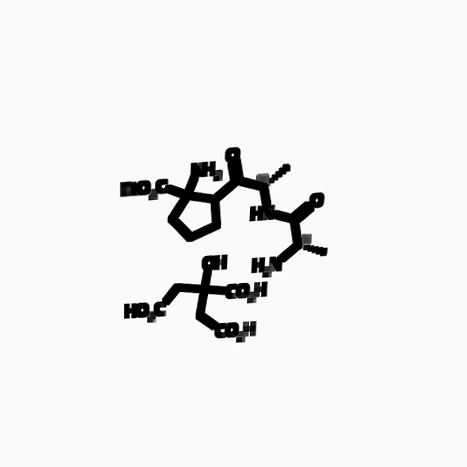 CCOC(=O)C1(N)CCCC1C(=O)[C@H](C)NC(=O)[C@H](C)N.O=C(O)CC(O)(CC(=O)O)C(=O)O